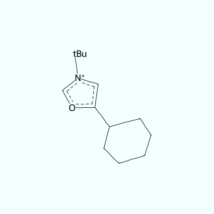 CC(C)(C)[n+]1coc(C2CCCCC2)c1